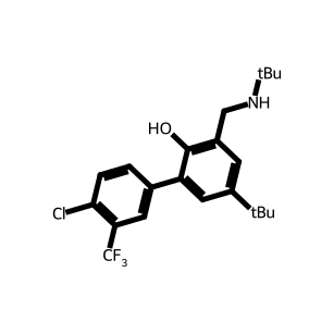 CC(C)(C)NCc1cc(C(C)(C)C)cc(-c2ccc(Cl)c(C(F)(F)F)c2)c1O